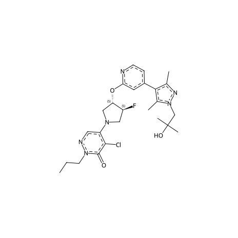 CCCn1ncc(N2C[C@H](Oc3cc(-c4c(C)nn(CC(C)(C)O)c4C)ccn3)[C@@H](F)C2)c(Cl)c1=O